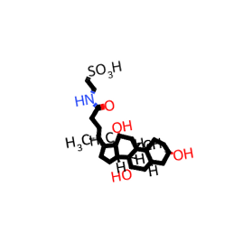 C[C@H](CCC(=O)NCCS(=O)(=O)O)C1CC[C@H]2[C@@H]3[C@H](O)C[C@@H]4C[C@H](O)CC[C@]4(C)[C@H]3C[C@H](O)[C@]12C